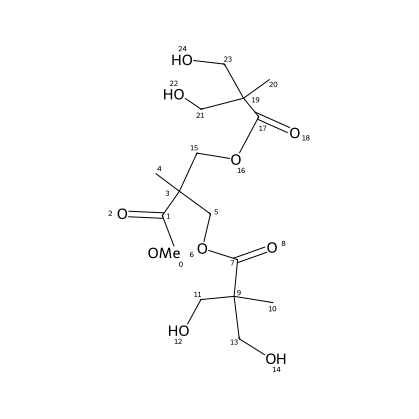 COC(=O)C(C)(COC(=O)C(C)(CO)CO)COC(=O)C(C)(CO)CO